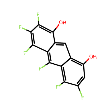 Oc1cc(F)c(F)c2c(F)c3c(F)c(F)c(F)c(O)c3cc12